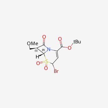 COC[C@H]1C(=O)N2C(C(=O)OC(C)(C)C)=CC(Br)S(=O)(=O)[C@H]12